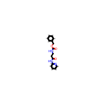 O=C(CCNC(=O)OCc1ccccc1)Nc1ccccn1